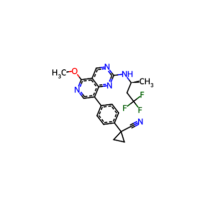 COc1ncc(-c2ccc(C3(C#N)CC3)cc2)c2nc(N[C@@H](C)CC(F)(F)F)ncc12